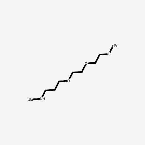 CCCOCCOCCOCCCNC(C)(C)C